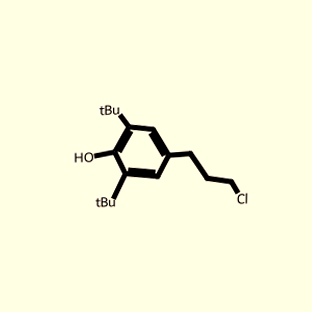 CC(C)(C)c1cc(CCCCl)cc(C(C)(C)C)c1O